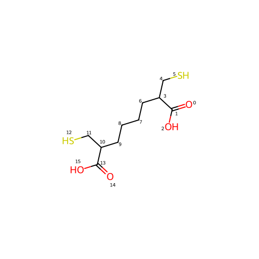 O=C(O)C(CS)CCCCC(CS)C(=O)O